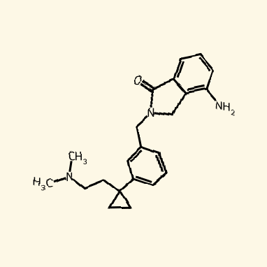 CN(C)CCC1(c2cccc(CN3Cc4c(N)cccc4C3=O)c2)CC1